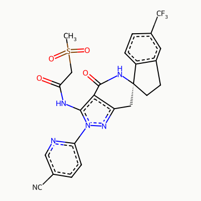 CS(=O)(=O)CC(=O)Nc1c2c(nn1-c1ccc(C#N)cn1)C[C@]1(CCc3cc(C(F)(F)F)ccc31)NC2=O